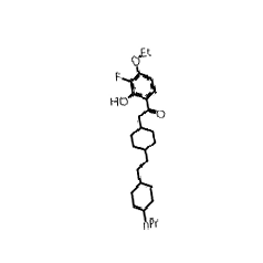 CCCC1CCC(CCC2CCC(CC(=O)c3ccc(OCC)c(F)c3O)CC2)CC1